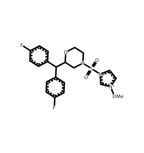 CO[n+]1ccn(S(=O)(=O)N2CCOC(C(c3ccc(F)cc3)c3ccc(F)cc3)C2)c1